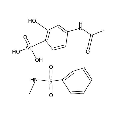 CC(=O)Nc1ccc([As](=O)(O)O)c(O)c1.CNS(=O)(=O)c1ccccc1